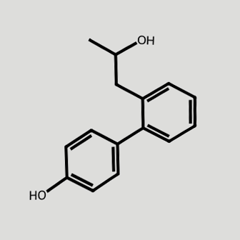 CC(O)Cc1ccccc1-c1ccc(O)cc1